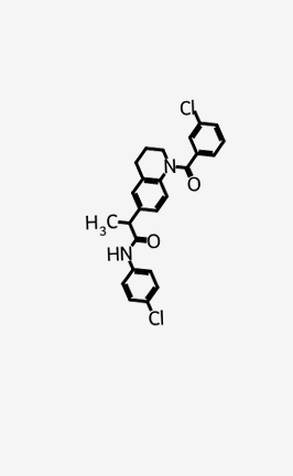 CC(C(=O)Nc1ccc(Cl)cc1)c1ccc2c(c1)CCCN2C(=O)c1cccc(Cl)c1